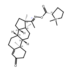 C/C(=N\OC(=O)[C@@H]1CCC[N+]1(C)C)[C@]1(I)CC[C@H]2[C@H]3CCC4=CC(=O)CC[C@]4(C)[C@H]3CC[C@@]21C